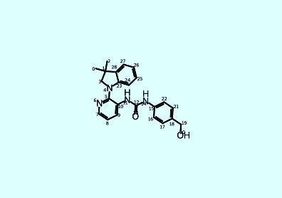 CC1(C)CN(c2ncccc2NC(=O)Nc2ccc(CO)cc2)c2ccccc21